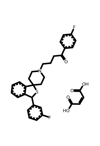 O=C(CCCN1CCC2(CC1)SC(c1cccc(F)c1)c1ccccc12)c1ccc(F)cc1.O=C(O)/C=C\C(=O)O